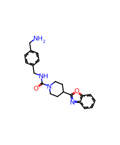 NCc1ccc(CNC(=O)N2CCC(c3nc4ccccc4o3)CC2)cc1